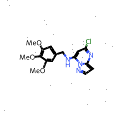 COc1cc(CNc2cc(Cl)nc3ccnn23)cc(OC)c1OC